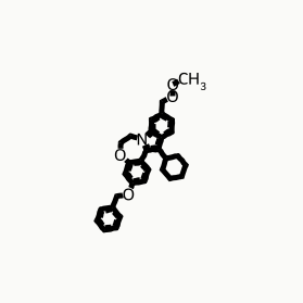 COOCc1ccc2c(C3CCCCC3)c3n(c2c1)CCOc1cc(OCc2ccccc2)ccc1-3